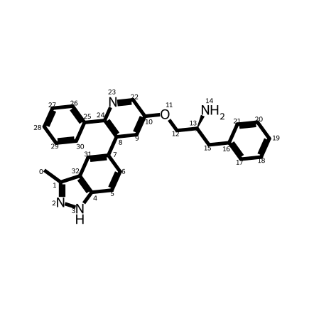 Cc1n[nH]c2ccc(-c3cc(OC[C@@H](N)Cc4ccccc4)cnc3-c3ccccc3)cc12